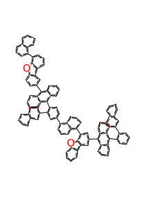 c1ccc(-c2c3ccccc3c(-c3cc(-c4cccc5c(-c6ccc(-c7c8ccccc8c(-c8ccc9oc%10c(-c%11cccc%12ccccc%11%12)cccc%10c9c8)c8ccccc78)c(-c7ccc8ccccc8c7)c6)cccc45)c4oc5ccccc5c4c3)c3ccccc23)c(-c2ccc3ccccc3c2)c1